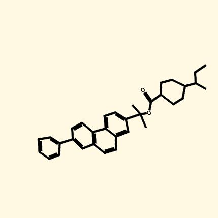 CCC(C)C1CCC(C(=O)OC(C)(C)c2ccc3c(ccc4cc(-c5ccccc5)ccc43)c2)CC1